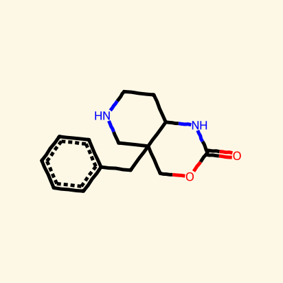 O=C1NC2CCNCC2(Cc2ccccc2)CO1